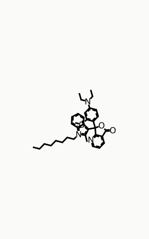 CCCCCCCCn1c(C)c(C2(c3ccc(N(CC)CC)cc3OC)OC(=O)c3cccnc32)c2ccccc21